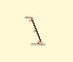 CCCCCCCCCOC(=O)CCCCCCCC(=O)CCCCCCCC(=O)OC(CCCCCCCC)CCCCCCCC